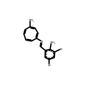 BC1=C/C=C(/N=C/c2cc(Br)cc(Br)c2N)\C=C/C=C\1